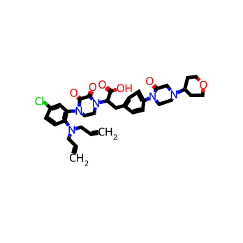 C=CCN(CC=C)c1ccc(Cl)cc1N1CCN(C(Cc2ccc(N3CCN(C4CCOCC4)CC3=O)cc2)C(=O)O)C(=O)C1=O